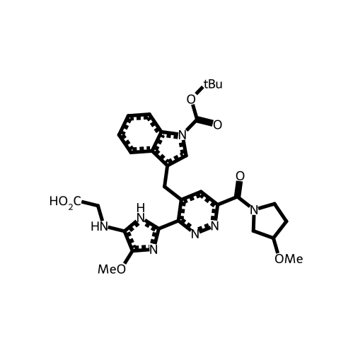 COc1nc(-c2nnc(C(=O)N3CCC(OC)C3)cc2Cc2cn(C(=O)OC(C)(C)C)c3ccccc23)[nH]c1NCC(=O)O